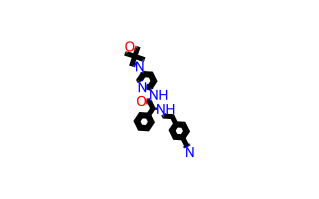 N#Cc1ccc(CCN[C@H](C(=O)Nc2ccc(N3CC4(COC4)C3)cn2)c2ccccc2)cc1